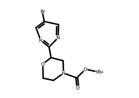 CC(C)(C)OC(=O)N1CCOC(c2ncc(Br)cn2)C1